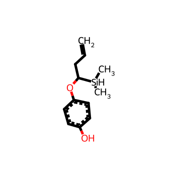 C=CCC(Oc1ccc(O)cc1)[SiH](C)C